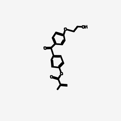 C=C(C)C(=O)Oc1ccc(C(=O)c2ccc(OCCO)cc2)cc1